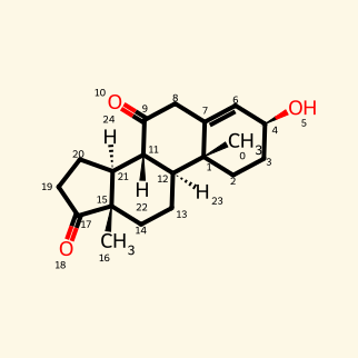 C[C@]12CC[C@H](O)C=C1CC(=O)[C@@H]1[C@@H]2CC[C@]2(C)C(=O)CC[C@@H]12